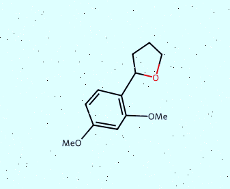 COc1ccc(C2CC[CH]O2)c(OC)c1